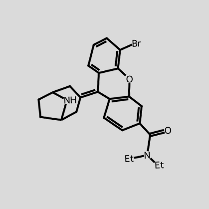 CCN(CC)C(=O)c1ccc2c(c1)Oc1c(Br)cccc1C2=C1CC2CCC(C1)N2